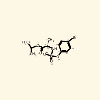 CC(C)OC(=O)[C@H](C)NP(=O)(Cl)Oc1ccc(Br)cc1